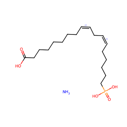 N.O=C(O)CCCCCCC/C=C\C/C=C\CCCCCP(=O)(O)O